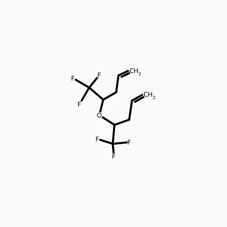 C=CCC(OC(CC=C)C(F)(F)F)C(F)(F)F